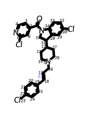 O=C(c1ccnc(Cl)c1)N1CC(C2CCN(C/C=C/c3ccc(Cl)cc3)CC2)c2cc(Cl)ccc21